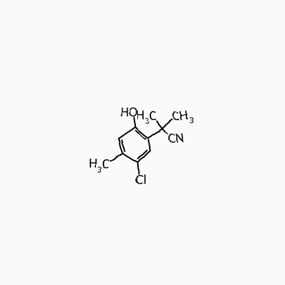 Cc1cc(O)c(C(C)(C)C#N)cc1Cl